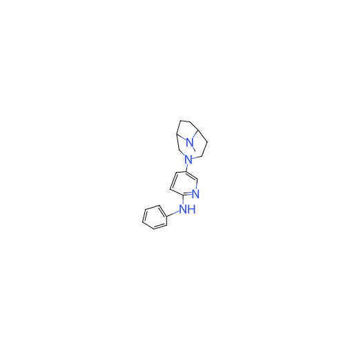 CN1C2CCC1CN(c1ccc(Nc3ccccc3)nc1)CC2